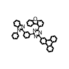 c1ccc(-n2c(-c3cccc(-c4nc(-c5ccc6c7ccccc7c7ccccc7c6c5)nc(-c5cccc6oc7ccccc7c56)n4)c3)nc3ccccc32)cc1